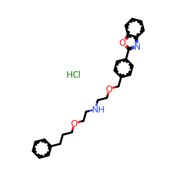 Cl.c1ccc(CCCOCCNCCOCc2ccc(-c3nc4ccccc4o3)cc2)cc1